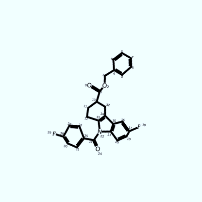 O=C(OCc1ccccc1)C1CCc2c(c3cc(F)ccc3n2C(=O)c2ccc(F)cc2)C1